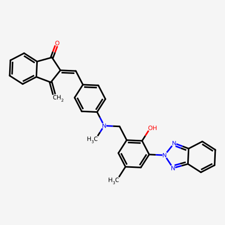 C=C1/C(=C\c2ccc(N(C)Cc3cc(C)cc(-n4nc5ccccc5n4)c3O)cc2)C(=O)c2ccccc21